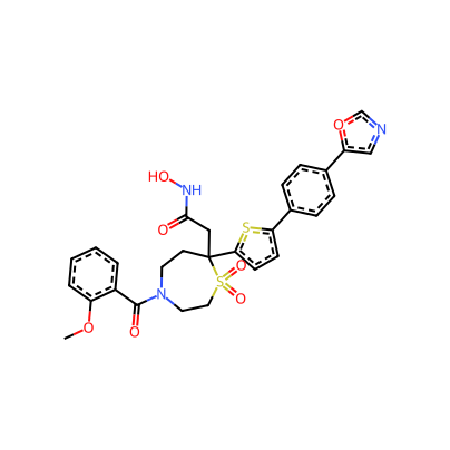 COc1ccccc1C(=O)N1CCC(CC(=O)NO)(c2ccc(-c3ccc(-c4cnco4)cc3)s2)S(=O)(=O)CC1